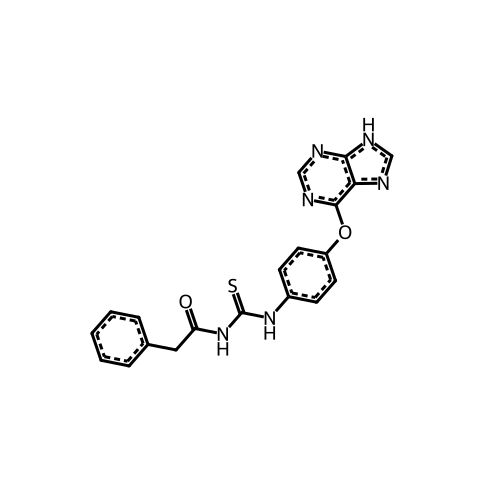 O=C(Cc1ccccc1)NC(=S)Nc1ccc(Oc2ncnc3[nH]cnc23)cc1